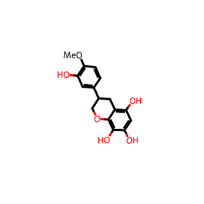 COc1ccc(C2COc3c(O)c(O)cc(O)c3C2)cc1O